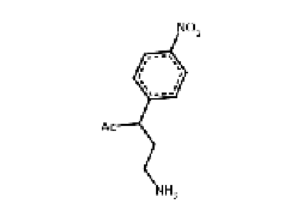 CC(=O)C(CCN)c1ccc([N+](=O)[O-])cc1